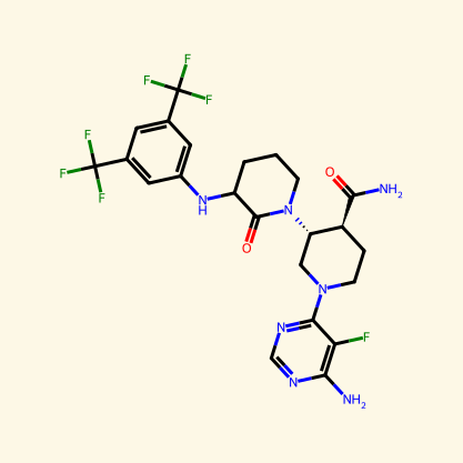 NC(=O)[C@H]1CCN(c2ncnc(N)c2F)C[C@@H]1N1CCCC(Nc2cc(C(F)(F)F)cc(C(F)(F)F)c2)C1=O